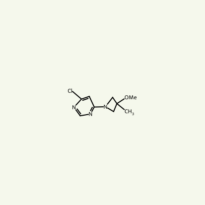 COC1(C)CN(c2cc(Cl)ncn2)C1